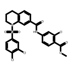 COC(=O)c1ccc(NC(=O)c2ccc3c(c2)N(S(=O)(=O)c2ccc(Cl)c(Cl)c2)CCC3)cc1Cl